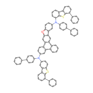 c1ccc(-c2ccc(N(c3ccc4sc5c(-c6ccccc6)cccc5c4c3)c3ccc4c(c3)c3ccccc3c3cc5c(cc43)oc3ccc(N(c4ccc(-c6ccccc6)cc4)c4cccc6c4sc4c(-c7ccccc7)cccc46)cc35)cc2)cc1